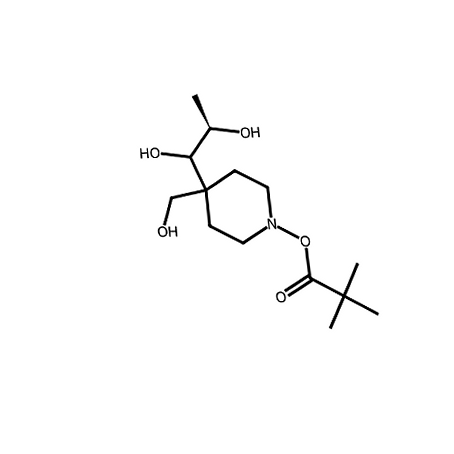 C[C@@H](O)C(O)C1(CO)CCN(OC(=O)C(C)(C)C)CC1